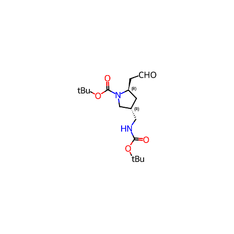 CC(C)(C)OC(=O)NC[C@H]1C[C@H](CC=O)N(C(=O)OC(C)(C)C)C1